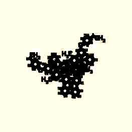 C=Cc1ccc(Oc2ccc(C3(c4cc(C)ccc4C)c4ccccc4-c4ccc(N(c5ccc(C)c(F)c5)c5ccc6c(c5)C5(c7ccccc7-6)c6ccccc6-c6ccc(N(c7ccc(C)c(F)c7)c7ccc8c(c7)C(c7ccc(Oc9ccc(C=C)cc9)cc7)(c7cc(C)ccc7C)c7ccccc7-8)cc65)cc43)cc2)cc1